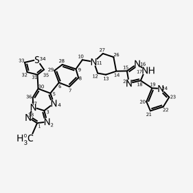 Cc1nc2nc(-c3ccc(CN4CCC(c5n[nH]c(-c6ccccn6)n5)CC4)cc3)c(-c3ccsc3)cn2n1